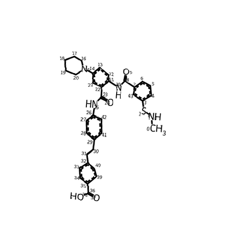 CNSc1cccc(C(=O)Nc2ccc(N3CCCCC3)cc2C(=O)Nc2ccc(CCc3ccc(C(=O)O)cc3)cc2)c1